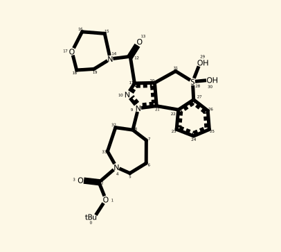 CC(C)(C)OC(=O)N1CCCC(n2nc(C(=O)N3CCOCC3)c3c2-c2ccccc2S(O)(O)C3)CC1